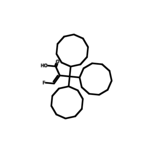 O=C(O)C(=CF)C(C1CCCCCCCCC1)(C1CCCCCCCCC1)C1CCCCCCCCC1